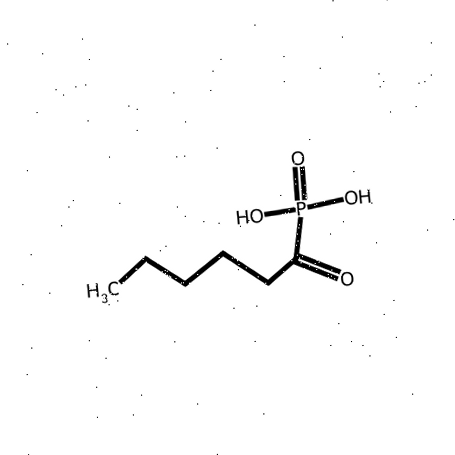 CCCCCC(=O)P(=O)(O)O